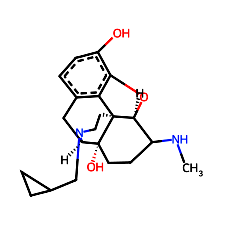 CNC1CC[C@@]2(O)[C@H]3Cc4ccc(O)c5c4[C@@]2(CCN3CC2CC2)[C@H]1O5